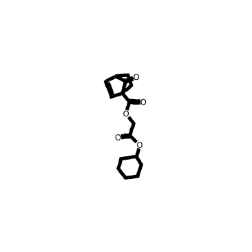 O=C(COC(=O)C12C=CC(CC1)C2=O)OC1CCCCC1